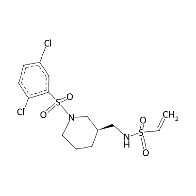 C=CS(=O)(=O)NC[C@H]1CCCN(S(=O)(=O)c2cc(Cl)ccc2Cl)C1